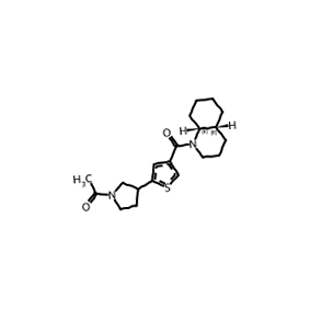 CC(=O)N1CCC(c2cc(C(=O)N3CCC[C@H]4CCCC[C@H]43)cs2)C1